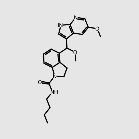 CCCCNC(=O)N1CCc2c(C(OC)c3c[nH]c4ncc(OC)cc34)cccc21